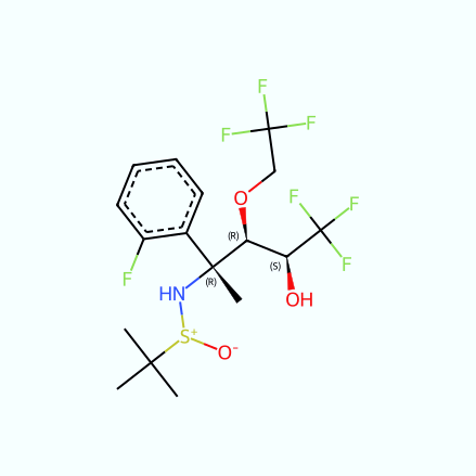 CC(C)(C)[S+]([O-])N[C@](C)(c1ccccc1F)[C@@H](OCC(F)(F)F)[C@H](O)C(F)(F)F